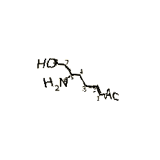 CC(=O)/C=C/CC[C@@H](N)CO